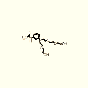 CC(=O)Nc1cccc(N(CCOCCO)CCOCCOCCO)c1